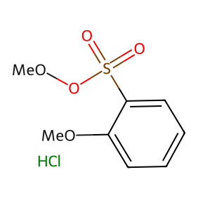 COOS(=O)(=O)c1ccccc1OC.Cl